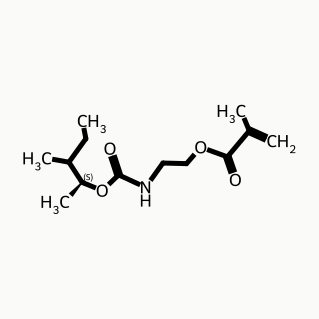 C=C(C)C(=O)OCCNC(=O)O[C@@H](C)C(C)CC